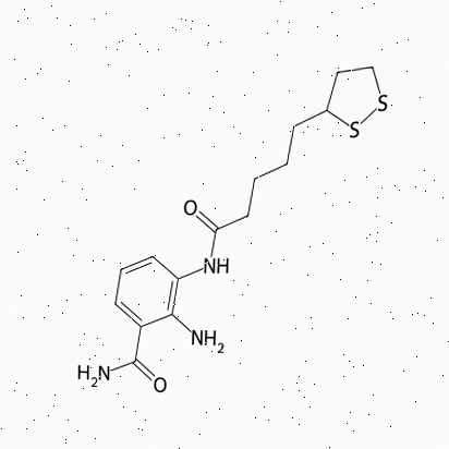 NC(=O)c1cccc(NC(=O)CCCCC2CCSS2)c1N